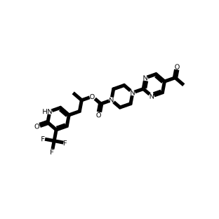 CC(=O)c1cnc(N2CCN(C(=O)OC(C)Cc3c[nH]c(=O)c(C(F)(F)F)c3)CC2)nc1